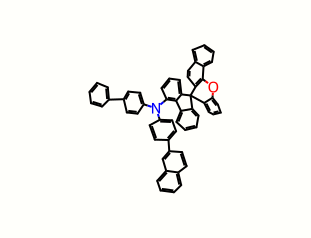 c1ccc(-c2ccc(N(c3ccc(-c4ccc5ccccc5c4)cc3)c3cccc4c3-c3ccccc3C43c4ccccc4Oc4c3ccc3ccccc43)cc2)cc1